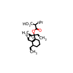 C=CC1=C(C(C=C)(C=C)OC(=O)C(CCC)C(=O)O)CCCC1C=C